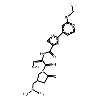 CN/C=C(/NC(=O)c1coc(-c2ccnc(NCC(F)(F)F)c2)n1)C(=N)N1CC(CN(C)C)CC1=O